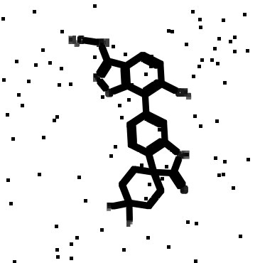 CNc1noc2c(-c3ccc4c(c3)NC(=O)C43CCC(F)(F)CC3)c(C)ccc12